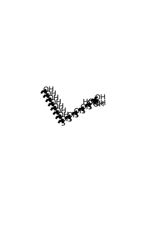 CCC(O)=S.CCC(O)=S.CCC(O)=S.CCC(O)=S.CCC(O)=S.CCC(O)=S.CCC(O)=S.CCC(O)=S.CCC(O)=S.CCC(O)=S.CCC(O)=S.CCC(O)=S.OCC(CO)(CO)CO